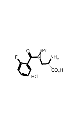 CCCN(C[C@H](N)C(=O)O)C(=O)c1ccccc1F.Cl